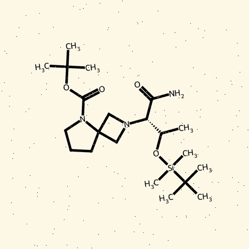 CC(O[Si](C)(C)C(C)(C)C)[C@@H](C(N)=O)N1CC2(CCCN2C(=O)OC(C)(C)C)C1